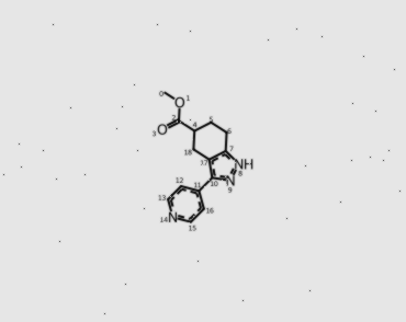 COC(=O)C1CCc2[nH]nc(-c3ccncc3)c2C1